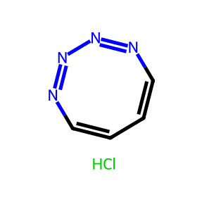 C1=C\N=N/N=N\C=C/1.Cl